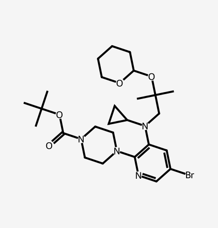 CC(C)(C)OC(=O)N1CCN(c2ncc(Br)cc2N(CC(C)(C)OC2CCCCO2)C2CC2)CC1